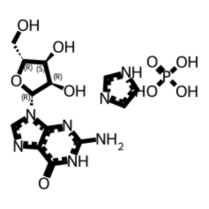 Nc1nc2c(ncn2[C@@H]2O[C@H](CO)[C@@H](O)[C@H]2O)c(=O)[nH]1.O=P(O)(O)O.c1c[nH]cn1